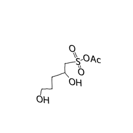 CC(=O)OS(=O)(=O)CC(O)CCCO